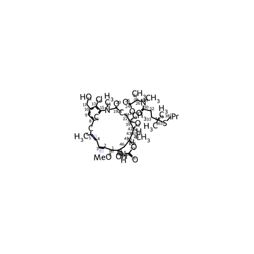 CO[C@@H]1/C=C/C=C(\C)Cc2cc(CO)c(Cl)c(c2)N(C)C(=O)C[C@H](OC(=O)[C@H](C)N(C)C(=O)CCC(C)(C)SC(C)C)[C@]2(C)O[C@H]2[C@H](C)[C@@H]2C[C@@]1(O)NC(=O)O2